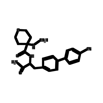 N#Cc1ccc(-c2ccc(CC(NC(=O)C3(NC(=O)O)CCOCC3)C(N)=O)cc2)cc1